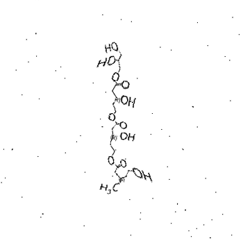 C[C@H](CCO)CC(=O)OCC[C@@H](O)CC(=O)OCC[C@@H](O)CC(=O)OCC(O)CO